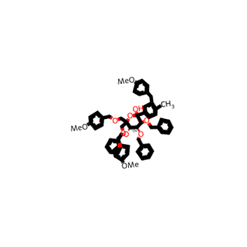 COc1ccc(COCC2(COCc3ccc(OC)cc3)OC(O)(c3ccc(C)c(Cc4ccc(OC)cc4)c3)C(OCc3ccccc3)[C@@H](OCc3ccccc3)[C@@H]2OCc2ccccc2)cc1